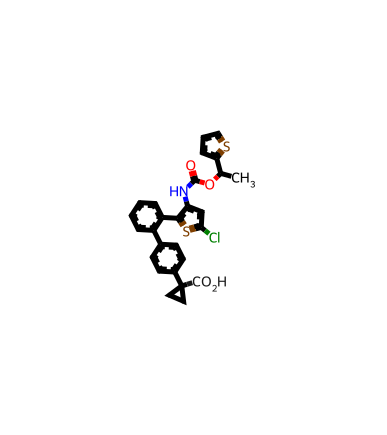 CC(OC(=O)Nc1cc(Cl)sc1-c1ccccc1-c1ccc(C2(C(=O)O)CC2)cc1)c1cccs1